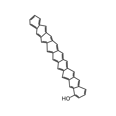 Oc1cccc2cc3cc4cc5cc6cc7cc8cc9ccccc9cc8cc7cc6cc5cc4cc3cc12